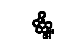 OB(O)c1ccccc1-c1ccccc1-n1c2ccccc2c2ccccc21